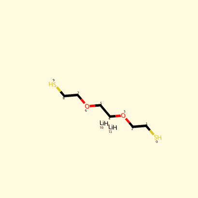 SCCOCCOCCS.[LiH].[LiH]